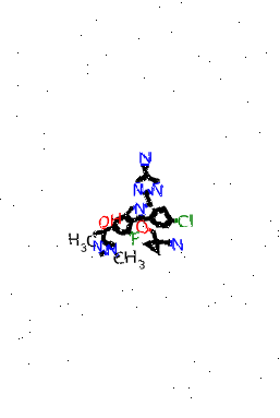 CCC(O)(c1cc(F)c2c(c1)CN(Cc1ncc(C#N)cn1)[C@@]2(OCC1(C#N)CC1)c1ccc(Cl)cc1)c1cn(C)cn1